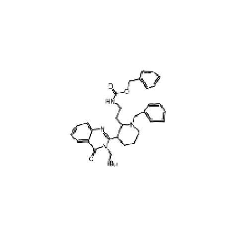 CC(C)(C)Cn1c(C2CCCN(Cc3ccccc3)C2CCNC(=O)OCc2ccccc2)nc2ccccc2c1=O